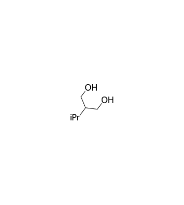 CC(C)C(CO)CO